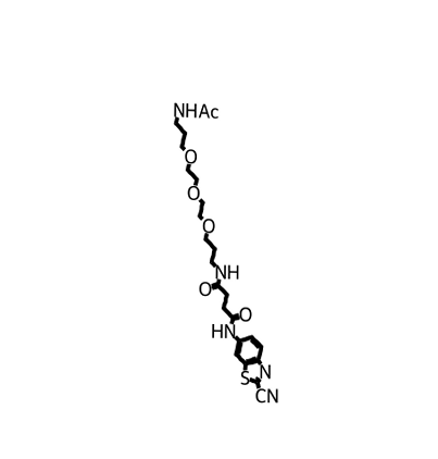 CC(=O)NCCCOCCOCCOCCCNC(=O)CCC(=O)Nc1ccc2nc(C#N)sc2c1